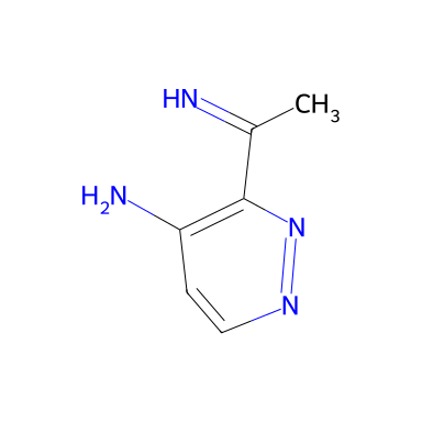 CC(=N)c1nnccc1N